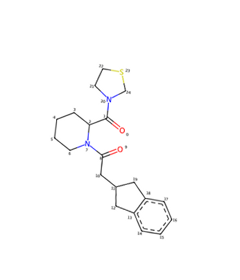 O=C(C1CCCCN1C(=O)CC1Cc2ccccc2C1)N1CCSC1